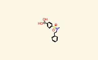 CN(CCc1ccccc1)S(=O)(=O)c1ccc(B(O)O)cc1